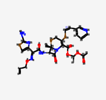 C=CCON=C(C(=O)NC1C(=O)N2C(C(=O)OC(C)OC(C)=O)=C(S/C=C\c3cccnc3)CS[C@@H]12)c1csc(N)n1